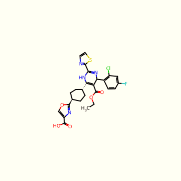 CCOC(=O)C1=C([C@H]2CC[C@H](c3nc(C(=O)O)co3)CC2)NC(c2nccs2)=NC1c1ccc(F)cc1Cl